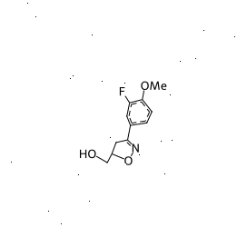 COc1ccc(C2=NOC(CO)C2)cc1F